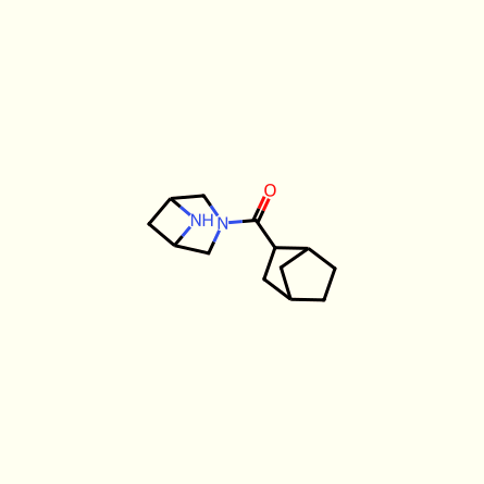 O=C(C1CC2CCC1C2)N1CC2CC(C1)N2